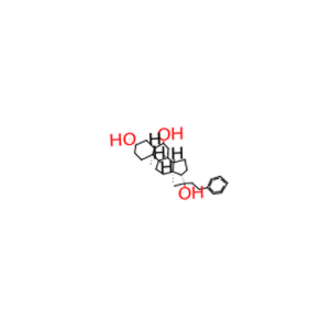 CC(O)(CCc1ccccc1)[C@H]1CC[C@H]2[C@@H]3C[C@H](O)[C@H]4C[C@@H](O)CC[C@]4(C)[C@H]3CC[C@]12C